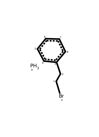 BrCCc1ccccc1.P